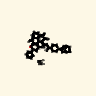 COC(=O)C1=C(CC(=O)N2CCN(C3CC4CCC(C3)N4C)CC2)NC(C[S+]([O-])c2ccccc2)=C(C(=O)OC)C1c1c(Cl)cccc1Cl.Cl.Cl